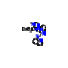 CCOC(=O)NCC1C(CN(C)[C@H]2CCCc3cccnc32)N=C2C=CC=C(N3CCN(C)CC3)N21